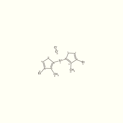 CCC1=CC[C]([Ti+2][C]2=C(C)C(CC)=CC2)=C1C.[Cl-].[Cl-]